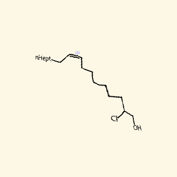 CCCCCCCC/C=C\CCCCCCC(Cl)CO